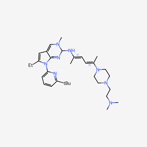 CCc1cc2c(n1-c1cccc(C(C)(C)C)n1)=NC(N/C(C)=C/C=C(\C)N1CCN(CCN(C)C)CC1)N(C)C=2